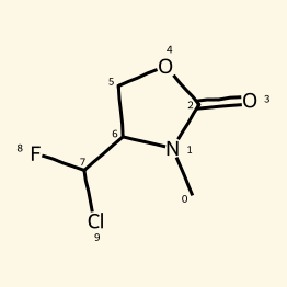 CN1C(=O)OCC1C(F)Cl